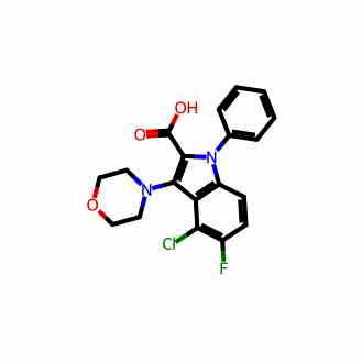 O=C(O)c1c(N2CCOCC2)c2c(Cl)c(F)ccc2n1-c1ccccc1